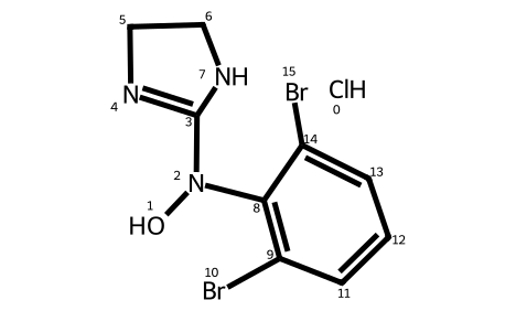 Cl.ON(C1=NCCN1)c1c(Br)cccc1Br